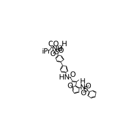 Cc1c(C(=O)Nc2ccc(-c3ccc(S(=O)(=O)NC(C(=O)O)C(C)C)cc3)cc2)oc2cccc(NS(=O)(=O)c3ccccc3)c12